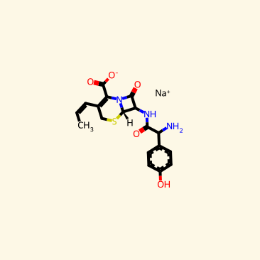 C/C=C\C1=C(C(=O)[O-])N2C(=O)C(NC(=O)C(N)c3ccc(O)cc3)[C@@H]2SC1.[Na+]